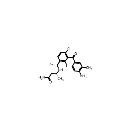 CC[C@@H](N[C@H](C)CC(N)=O)c1ccc(Cl)c(C(=O)c2ccc(N)c(C)c2)c1F